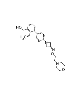 C=Cc1c(CO)cccc1-c1cnc(N2CC(=NOCCN3CCOCC3)C2)nc1